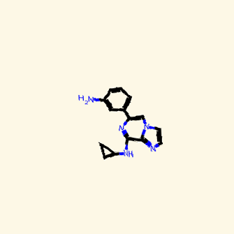 Nc1cccc(-c2cn3ccnc3c(NC3CC3)n2)c1